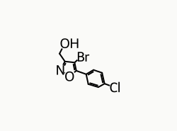 OCc1noc(-c2ccc(Cl)cc2)c1Br